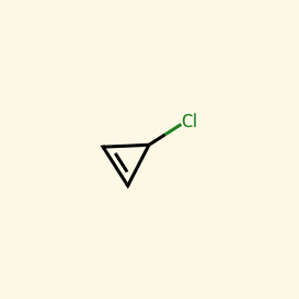 ClC1C=C1